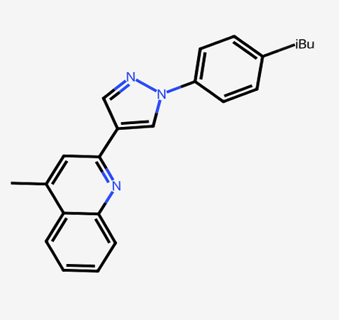 CCC(C)c1ccc(-n2cc(-c3cc(C)c4ccccc4n3)cn2)cc1